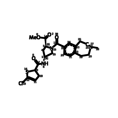 COC(=O)[C@@H]1C[C@@H](NC(=O)C2CC=C(Cl)S2)CN1C(=O)c1ccc2c(c1)CCN(C)CC2